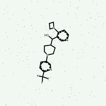 OC(c1cnccc1N1CCC1)C1CCN(c2ccc(C(F)(F)F)nc2)CC1